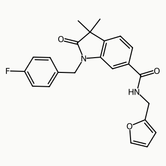 CC1(C)C(=O)N(Cc2ccc(F)cc2)c2cc(C(=O)NCc3ccco3)ccc21